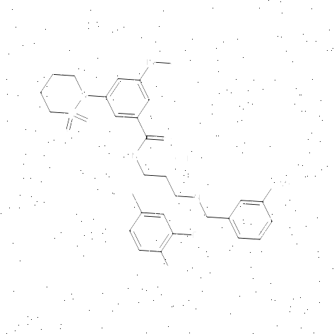 CCNc1cc(C(=O)N[C@@H](Cc2ccc(F)c(F)c2)[C@H](O)CNCc2cccc(OC)c2)cc(N2CCCCS2(=O)=O)c1